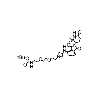 CC(C)(C)OC(=O)NCCOCCOCCN1CC(Nc2cccc3c2C(=O)N(C2CCC(=O)NC2=O)C3=O)C1